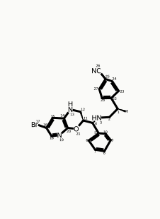 C[C@@H](CN[C@H](c1ccccc1)[C@@H]1CNc2cc(Br)cnc2O1)c1ccc(C#N)cc1